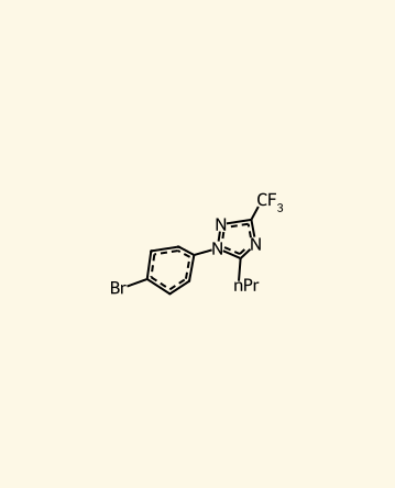 CCCc1nc(C(F)(F)F)nn1-c1ccc(Br)cc1